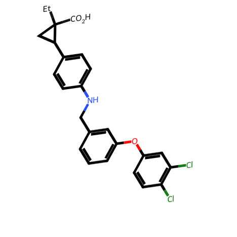 CCC1(C(=O)O)CC1c1ccc(NCc2cccc(Oc3ccc(Cl)c(Cl)c3)c2)cc1